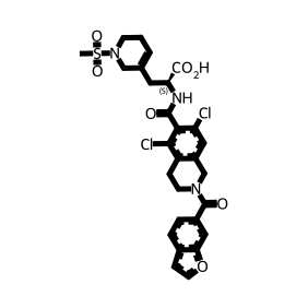 CS(=O)(=O)N1CCC=C(C[C@H](NC(=O)c2c(Cl)cc3c(c2Cl)CCN(C(=O)c2ccc4ccoc4c2)C3)C(=O)O)C1